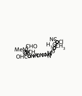 CNC(=O)C(CCC=O)N(C)C(=O)c1cc(N2CC(N3CCC(N4CC5CN(c6nccc(COc7ccc(C(C)(C)c8cc(Cl)cc(C#N)c8)cc7)n6)CC5C4)CC3)C2)ccc1C=O